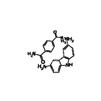 NC(=O)c1ccc(C(N)=O)cc1.Nc1ccc2[nH]c3ccc(N)cc3c2c1